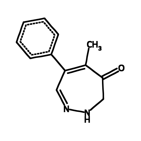 CC1=C(c2ccccc2)C=NNCC1=O